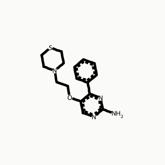 Nc1ncc(OCCN2CCSCC2)c(-c2ccccc2)n1